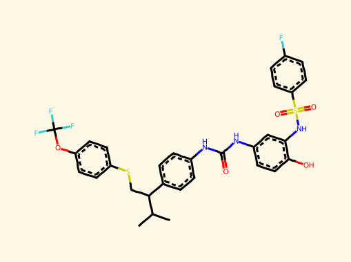 CC(C)C(CSc1ccc(OC(F)(F)F)cc1)c1ccc(NC(=O)Nc2ccc(O)c(NS(=O)(=O)c3ccc(F)cc3)c2)cc1